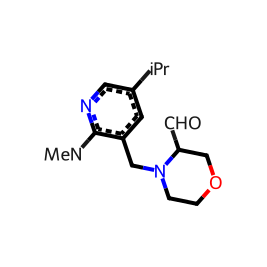 CNc1ncc(C(C)C)cc1CN1CCOCC1C=O